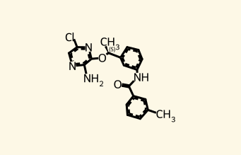 Cc1cccc(C(=O)Nc2cccc([C@H](C)Oc3nc(Cl)cnc3N)c2)c1